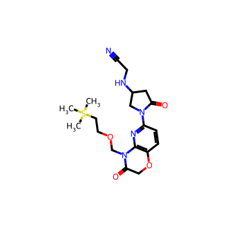 CS(C)(C)CCOCN1C(=O)COc2ccc(N3CC(NCC#N)CC3=O)nc21